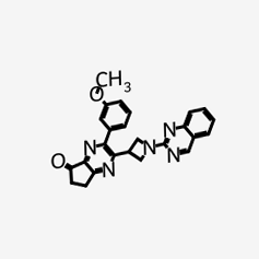 COc1cccc(-c2nc3c(nc2C2CN(c4ncc5ccccc5n4)C2)CCC3=O)c1